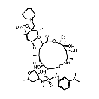 CC[C@H]1OC(=O)[C@H](C)[C@@H](O[C@H]2C[C@@](C)(OC)[C@](O)(CN3CCCCC3)[C@H](C)O2)[C@H](C)[C@@H](O[C@H]2O[C@@H](C)C[C@@H](N(C)S(=O)(=O)Nc3cccc(N(C)C)c3)[C@@H]2O)[C@](C)(O)C[C@@H](C)CN[C@H](C)[C@@H](O)[C@]1(C)O